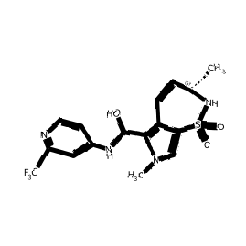 C[C@H]1C=Cc2c(cn(C)c2C(O)Nc2ccnc(C(F)(F)F)c2)S(=O)(=O)N1